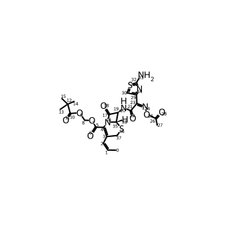 C/C=C\C1=C(C(=O)OCOC(=O)C(C)(C)C)N2C(=O)[C@@H](NC(=O)/C(=N\OC(C)=O)c3csc(N)n3)[C@@H]2SC1